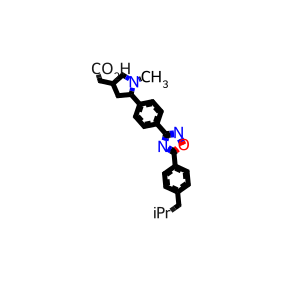 CC(C)Cc1ccc(-c2nc(-c3ccc(C4CC(CC(=O)O)CN4C)cc3)no2)cc1